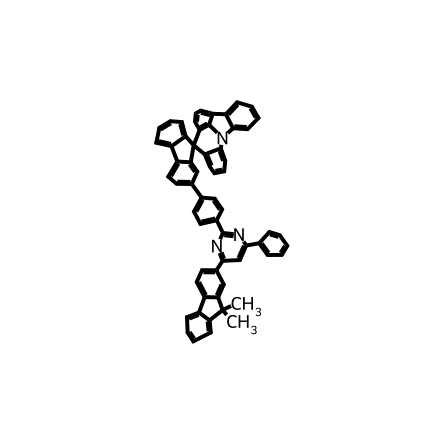 CC1(C)c2ccccc2-c2ccc(-c3cc(-c4ccccc4)nc(-c4ccc(-c5ccc6c(c5)C5(c7ccccc7-6)c6ccccc6-n6c7ccccc7c7cccc5c76)cc4)n3)cc21